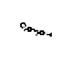 CC(c1ccc(CCNC(=O)c2ccc(OCC3CC3)cc2)cc1)N1CCCCCC1